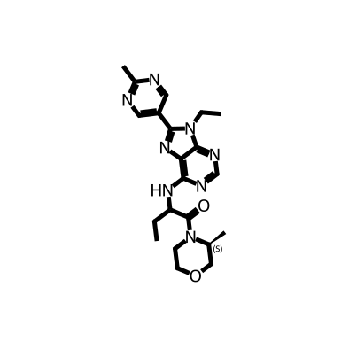 CCC(Nc1ncnc2c1nc(-c1cnc(C)nc1)n2CC)C(=O)N1CCOC[C@@H]1C